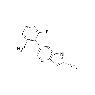 Cc1cccc(F)c1-c1ccc2cc(N)[nH]c2c1